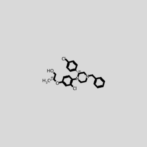 C[C@H](CO)Oc1ccc(N2CCN(Cc3ccccc3)C[C@H]2c2ccc(Cl)cc2)c(Cl)c1